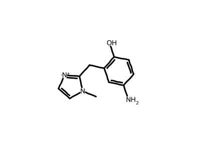 CN1C=C[N+]=C1Cc1cc(N)ccc1O